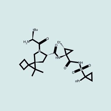 CCCC1(S(=O)(=O)NC(=O)[C@@]2(NC(=O)[C@@H]3C[C@@]4(CN3C(=O)[C@@H](N)C(C)(C)C)C(C)(C)C43CCC3)C[C@H]2CC)CC1